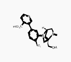 CN1C[C@@H]2C[C@@]1(CO)CN2c1cc(-c2cnccc2C(=O)O)ccc1[N+](=O)[O-]